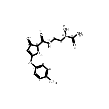 Cc1ccc(OC2=CC(=O)C(C(=O)NCCN(O)C(N)=O)O2)cc1